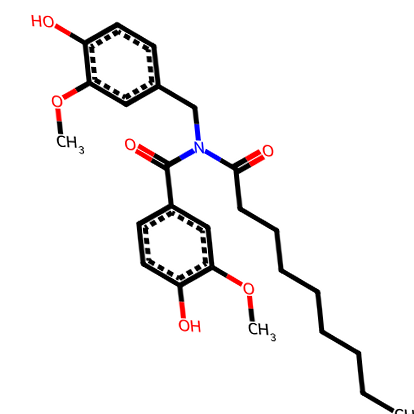 CCCCCCCCC(=O)N(Cc1ccc(O)c(OC)c1)C(=O)c1ccc(O)c(OC)c1